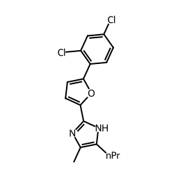 CCCc1[nH]c(-c2ccc(-c3ccc(Cl)cc3Cl)o2)nc1C